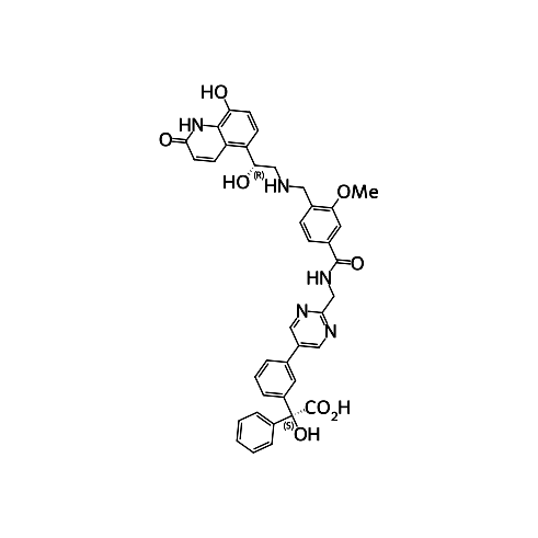 COc1cc(C(=O)NCc2ncc(-c3cccc([C@](O)(C(=O)O)c4ccccc4)c3)cn2)ccc1CNC[C@H](O)c1ccc(O)c2[nH]c(=O)ccc12